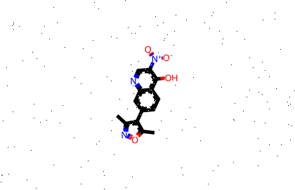 Cc1noc(C)c1-c1ccc2c(O)c([N+](=O)[O-])cnc2c1